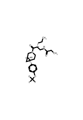 CCC[C@H](CNC(=O)CC)C(=O)N1CC[C@@]2(c3ccc(OC(F)(F)F)cc3)C[C@H]2C1